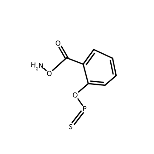 NOC(=O)c1ccccc1OP=S